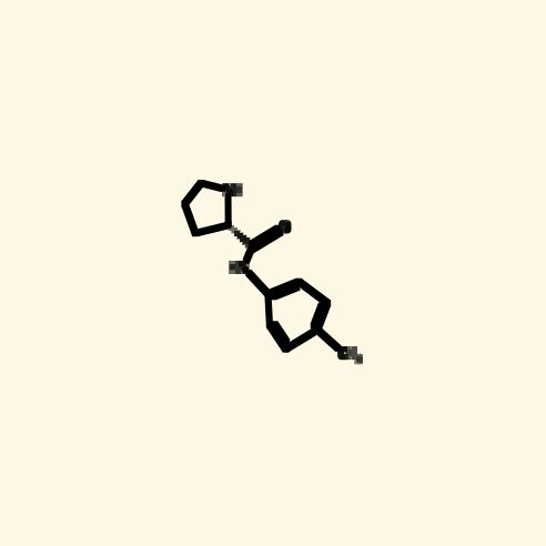 Cc1ccc(NC(=O)[C@@H]2CCCN2)cc1